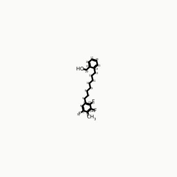 Cc1c(F)cc(CCCCCCCCc2ccccc2CO)c(F)c1F